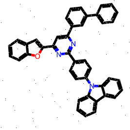 c1ccc(-c2cccc(-c3cc(-c4cc5ccccc5o4)nc(-c4ccc(-n5c6ccccc6c6ccccc65)cc4)n3)c2)cc1